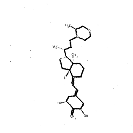 C=C1[C@H](O)CC(=C/C=C2\CCC[C@]3(C)[C@@H]([C@H](C)CCN4CCOC[C@@H]4C)CC[C@@H]23)C[C@H]1O